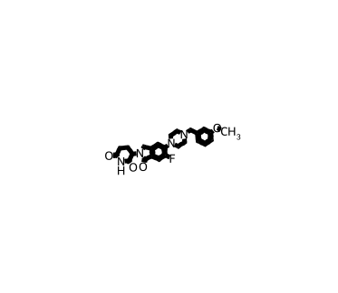 COc1cccc(CN2CCN(c3cc4c(cc3F)C(=O)N(C3CCC(=O)NC3=O)C4)CC2)c1